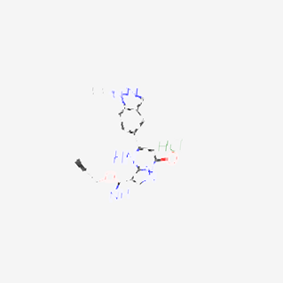 C#CCOC(=N)c1cnn2c(=O)cc(-c3ccc4c(cnn4CC)c3)[nH]c12.Cl